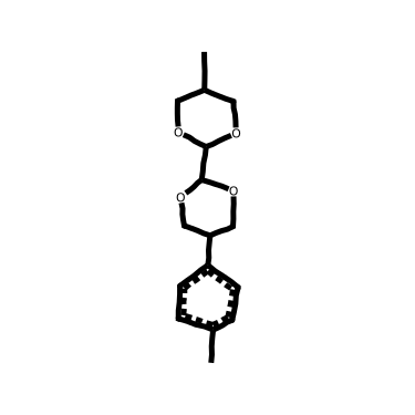 Cc1ccc(C2COC(C3OCC(C)CO3)OC2)cc1